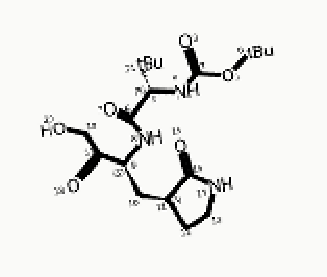 CC(C)(C)OC(=O)N[C@H](C(=O)N[C@@H](C[C@@H]1CCNC1=O)C(=O)CO)C(C)(C)C